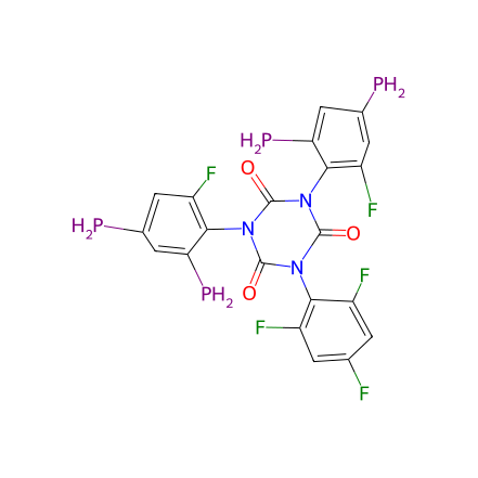 O=c1n(-c2c(F)cc(F)cc2F)c(=O)n(-c2c(F)cc(P)cc2P)c(=O)n1-c1c(F)cc(P)cc1P